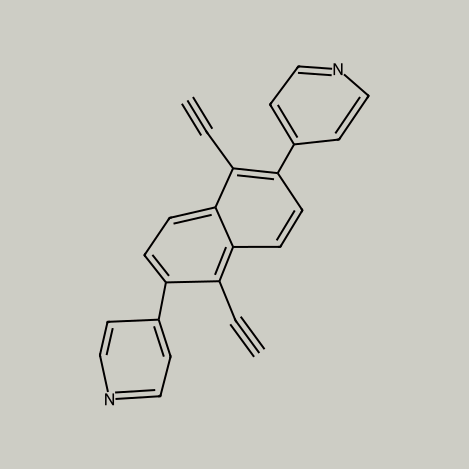 C#Cc1c(-c2ccncc2)ccc2c(C#C)c(-c3ccncc3)ccc12